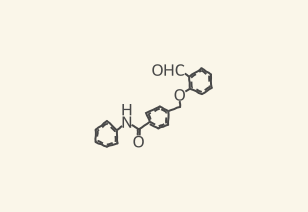 O=Cc1ccccc1OCc1ccc(C(=O)Nc2ccccc2)cc1